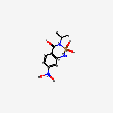 CC(C)N1C(=O)c2ccc([N+](=O)[O-])cc2NS1(=O)=O